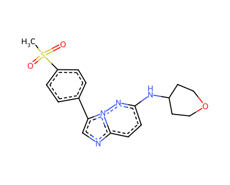 CS(=O)(=O)c1ccc(-c2cnc3ccc(NC4CCOCC4)nn23)cc1